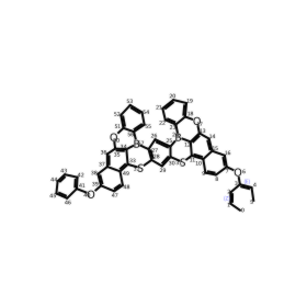 C/C=C\C(=C/C)Oc1ccc2c3c4c(cc2c1)Oc1ccccc1B4c1cc2c(cc1S3)Sc1c3c(cc4cc(Oc5ccccc5)ccc14)Oc1ccccc1B23